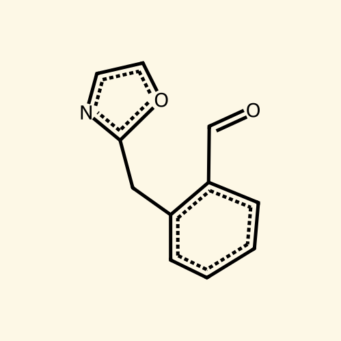 O=Cc1ccccc1Cc1ncco1